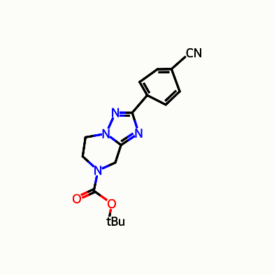 CC(C)(C)OC(=O)N1CCn2nc(-c3ccc(C#N)cc3)nc2C1